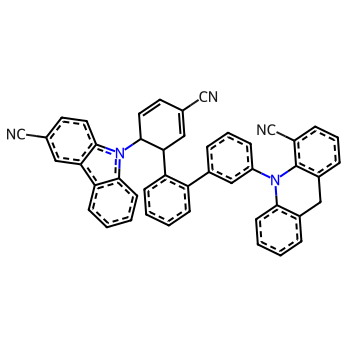 N#CC1=CC(c2ccccc2-c2cccc(N3c4ccccc4Cc4cccc(C#N)c43)c2)C(n2c3ccccc3c3cc(C#N)ccc32)C=C1